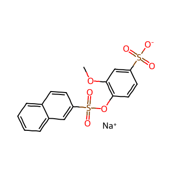 COc1cc(S(=O)(=O)[O-])ccc1OS(=O)(=O)c1ccc2ccccc2c1.[Na+]